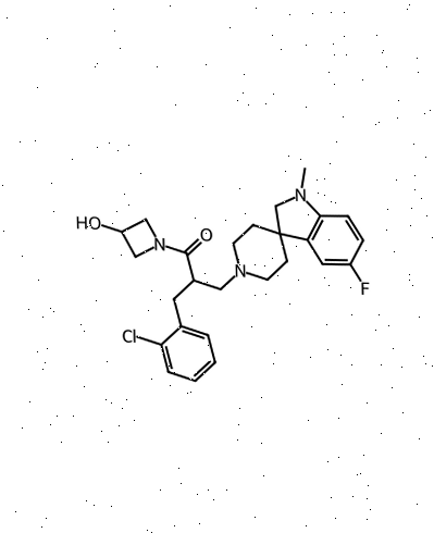 CN1CC2(CCN(CC(Cc3ccccc3Cl)C(=O)N3CC(O)C3)CC2)c2cc(F)ccc21